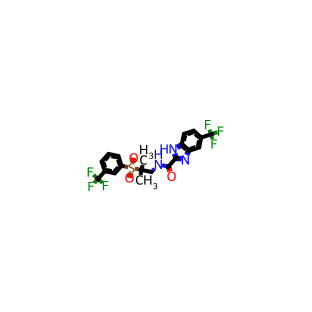 CC(C)(CNC(=O)c1nc2cc(C(F)(F)F)ccc2[nH]1)S(=O)(=O)c1cccc(C(F)(F)F)c1